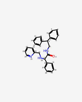 O=C(NCC(c1ccccc1)c1ccccc1)C(NCc1ccccn1)c1ccccc1